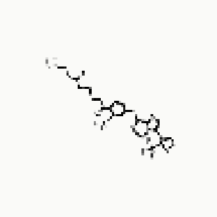 CCCCC(=O)CCCCC(=O)c1ccc(Cc2nccn3c(C4=CCN=C4C(F)(F)F)cnc23)cc1C